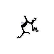 CC(=O)N(C)/C=C(/C)C(N)=O